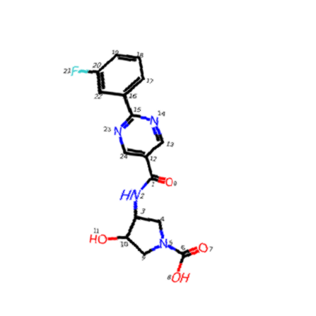 O=C(NC1CN(C(=O)O)CC1O)c1cnc(-c2cccc(F)c2)nc1